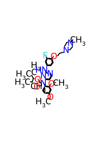 COc1ccc(N(C(=O)OC(C(C)C)C(C)C)c2ccnc(Nc3ccc(OCCCN4CCN(C)CC4)c(F)c3)n2)c(OC)c1